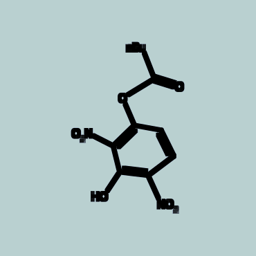 CCCCC(=O)Oc1ccc([N+](=O)[O-])c(O)c1[N+](=O)[O-]